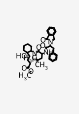 COC(=O)CCCC1(O)CCCCC1NC(=O)C(CC(C)C)NC(=O)C(Cc1ccccc1)N1Cc2ccccc2C1=O